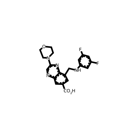 O=C(O)c1cc(CNc2cc(F)cc(F)c2)c2nc(N3CCOCC3)cnc2c1